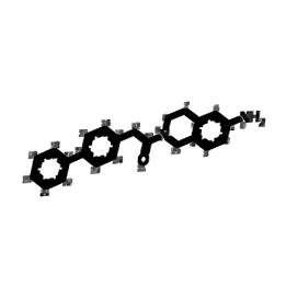 Nc1ccc2c(c1)CCN(C(=O)Cc1ccc(-c3ccccc3)cc1)C2